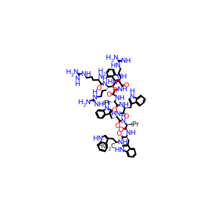 CC(C)[C@H](NC(=O)[C@H](Cc1c[nH]c2ccccc12)NC(=O)[C@H](Cc1c[nH]c2ccccc12)NC(=O)[C@@H](NC(=O)[C@H](Cc1c[nH]c2ccccc12)NC(=O)[C@H](CCCNC(=N)N)NC(=O)[C@H](CCCNC(=N)N)NC(=O)[C@@H](N)CCCNC(=N)N)C(C)C)C(=O)N[C@@H](Cc1c[nH]c2ccccc12)C(=O)N[C@@H](Cc1c[nH]c2ccccc12)C(=O)O